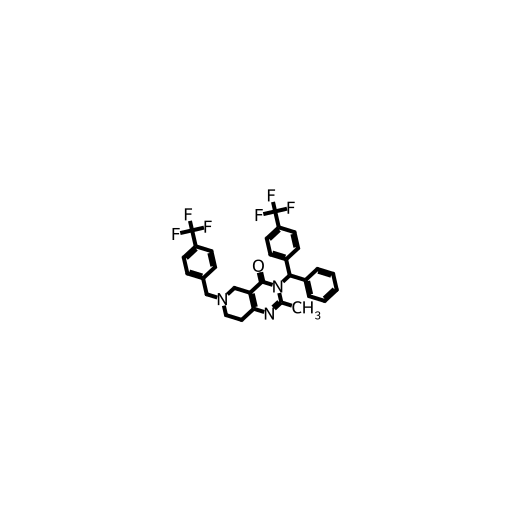 Cc1nc2c(c(=O)n1C(c1ccccc1)c1ccc(C(F)(F)F)cc1)CN(Cc1ccc(C(F)(F)F)cc1)CC2